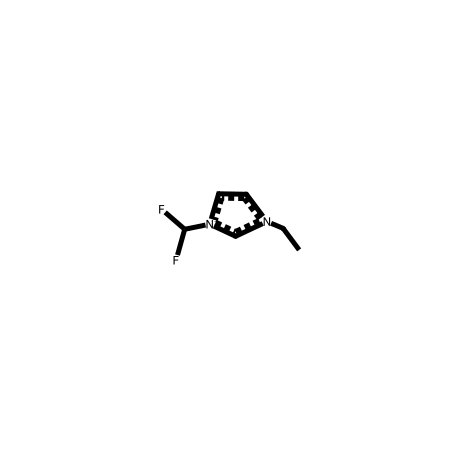 CCn1cc[n+](C(F)F)c1